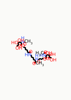 CC(=O)NC1C(OCCCCCC(=O)NCCCCC(NC(=O)CCCOC2OC(CO)C(O)C(O)C2NC(C)=O)C(C)=O)OC(CO)C(O)C1O